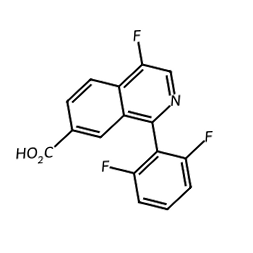 O=C(O)c1ccc2c(F)cnc(-c3c(F)cccc3F)c2c1